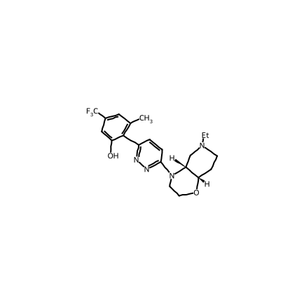 CCN1CC[C@@H]2OCCN(c3ccc(-c4c(C)cc(C(F)(F)F)cc4O)nn3)[C@@H]2C1